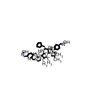 CC[C@H](C)[C@@](C)(C(=O)N[C@@H](Cc1ccccc1)[C@H](O)CN(CC(C)C)S(=O)(=O)c1ccc(/C=N/O)cc1)N1CCN(Cc2cccc(/C=N\O)n2)C1=O